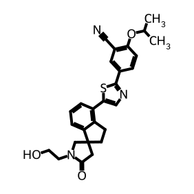 CC(C)Oc1ccc(-c2ncc(-c3cccc4c3CCC43CC(=O)N(CCO)C3)s2)cc1C#N